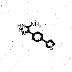 Nc1[nH]nnc1-c1ccc(-c2ccsc2)cc1